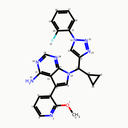 COc1ncccc1-c1cn(C(c2cn(-c3ccccc3F)nn2)C2CC2)c2ncnc(N)c12